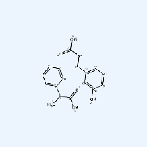 CC(C(=O)O)c1ccccc1.O=C(O)CCc1cccc(O)c1